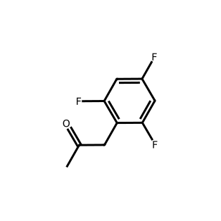 CC(=O)Cc1c(F)cc(F)cc1F